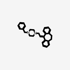 C(CN1CCN(Cc2ccccc2)CC1)=C1c2ccccc2CCc2ccccc21